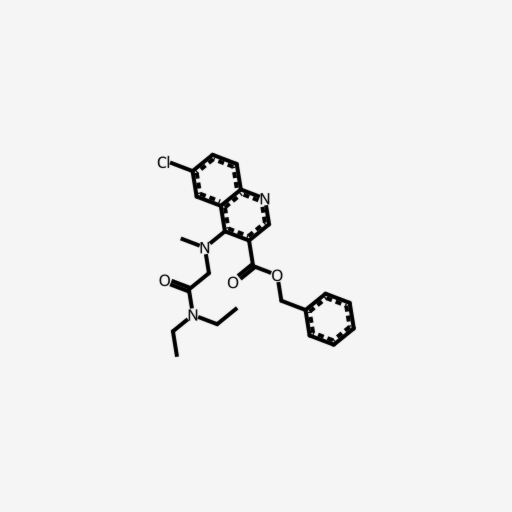 CCN(CC)C(=O)CN(C)c1c(C(=O)OCc2ccccc2)cnc2ccc(Cl)cc12